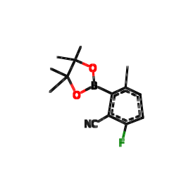 Cc1ccc(F)c(C#N)c1B1OC(C)(C)C(C)(C)O1